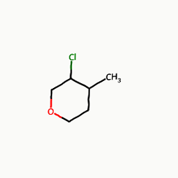 CC1CCOCC1Cl